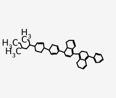 CCC(C)CC(CC)C1C=CC(C2C=CC(C3C=CC(C4=C5CCC=CC5=C(c5ccccc5)CC4)=C4C=CCCC43)=CC2)CC1